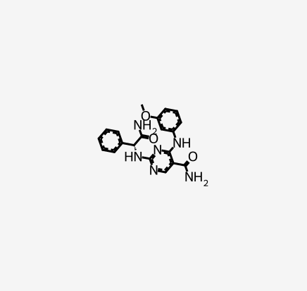 COc1cccc(Nc2nc(N[C@@H](C(N)=O)c3ccccc3)ncc2C(N)=O)c1